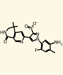 Cc1cc(F)c(-n2cc(-c3cc4c(cn3)C(=O)NCC4(C)C)c([N+](=O)[O-])n2)cc1N